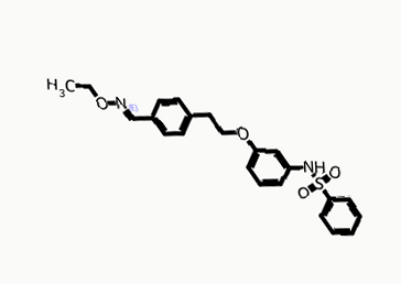 CCO/N=C/c1ccc(CCOc2cccc(NS(=O)(=O)c3ccccc3)c2)cc1